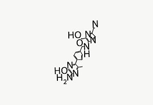 Cc1nc(N)c(O)nc1-c1ccc(CNc2ncc(C#N)nc2C(=O)O)cc1